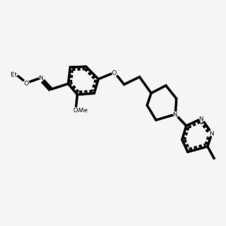 CCON=Cc1ccc(OCCC2CCN(c3ccc(C)nn3)CC2)cc1OC